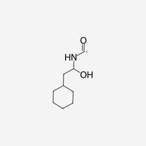 O=[C]NC(O)CC1CCCCC1